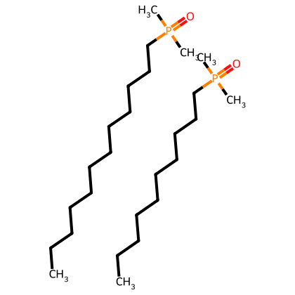 CCCCCCCCCCCCP(C)(C)=O.CCCCCCCCCCP(C)(C)=O